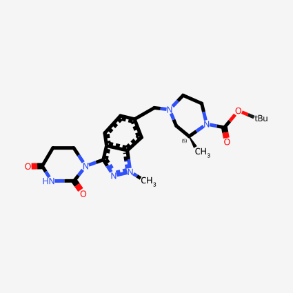 C[C@H]1CN(Cc2ccc3c(N4CCC(=O)NC4=O)nn(C)c3c2)CCN1C(=O)OC(C)(C)C